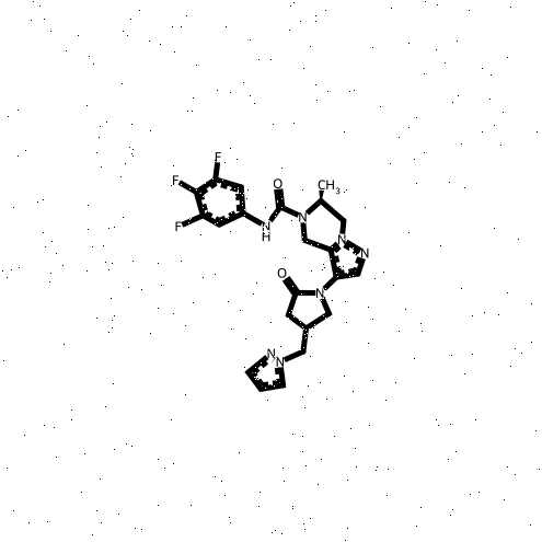 C[C@H]1Cn2ncc(N3CC(Cn4cccn4)CC3=O)c2CN1C(=O)Nc1cc(F)c(F)c(F)c1